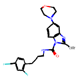 COc1nc2cc(N3CCOCC3)ccc2n1C(=O)NCCCc1ccc(F)cc1F